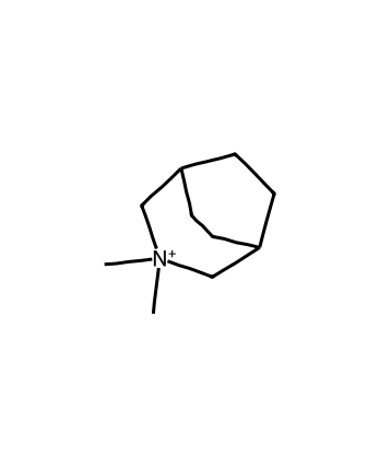 C[N+]1(C)CC2CCC(CC2)C1